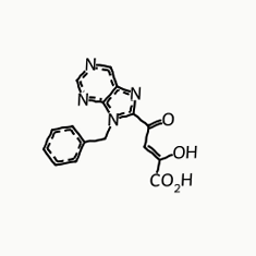 O=C(O)/C(O)=C/C(=O)c1nc2cncnc2n1Cc1ccccc1